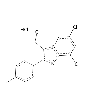 Cc1ccc(-c2nc3c(Cl)cc(Cl)cn3c2CCl)cc1.Cl